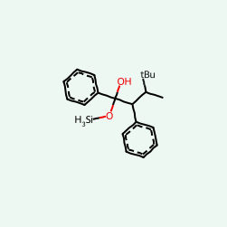 CC(C(c1ccccc1)C(O)(O[SiH3])c1ccccc1)C(C)(C)C